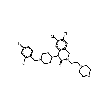 O=C1N(CCN2CCOCC2)Cc2cc(Cl)c(Cl)cc2N1C1CCN(Cc2ccc(F)cc2Cl)CC1